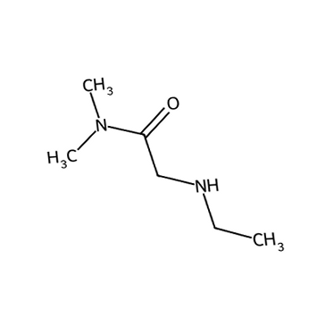 CCNCC(=O)N(C)C